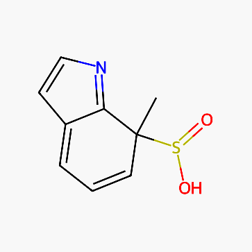 CC1(S(=O)O)C=CC=C2C=CN=C21